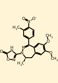 COc1cc2c(cc1OC)C(c1ccc([N+](=O)[O-])c(C)c1)=NN(c1noc(=O)[nH]1)[C@H](C)C2